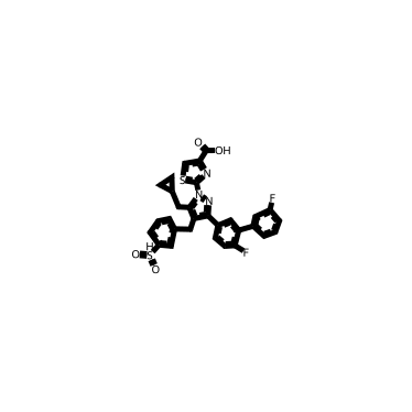 O=C(O)c1csc(-n2nc(-c3ccc(F)c(-c4cccc(F)c4)c3)c(Cc3cccc([SH](=O)=O)c3)c2CC2CC2)n1